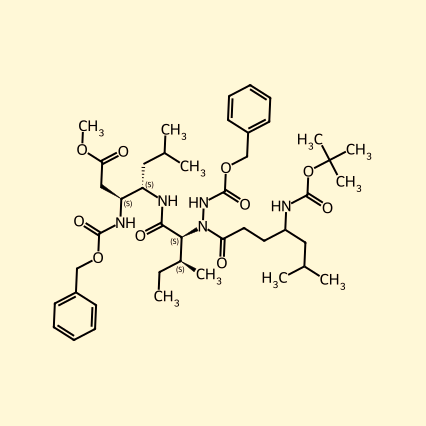 CC[C@H](C)[C@@H](C(=O)N[C@@H](CC(C)C)[C@H](CC(=O)OC)NC(=O)OCc1ccccc1)N(NC(=O)OCc1ccccc1)C(=O)CCC(CC(C)C)NC(=O)OC(C)(C)C